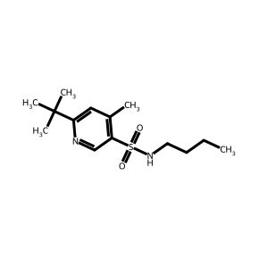 CCCCNS(=O)(=O)c1cnc(C(C)(C)C)cc1C